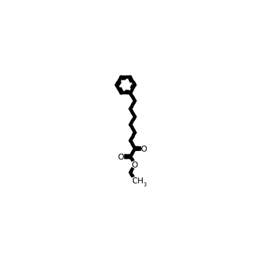 CCOC(=O)C(=O)CCCCCCc1ccccc1